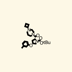 Cc1cccc(O[C@H]2C[C@H](C(=O)N3CCCN(C4CCC4)CC3)N(C(=O)OC(C)(C)C)C2)c1